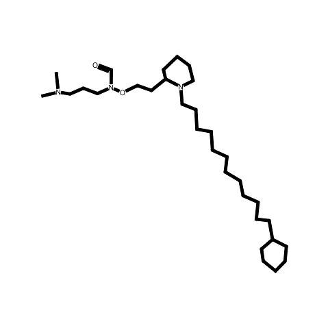 CN(C)CCCN(C=O)OCCC1CCCCN1CCCCCCCCCCCCC1CCCCC1